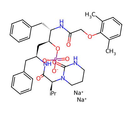 Cc1cccc(C)c1OCC(=O)N[C@@H](Cc1ccccc1)[C@H](C[C@H](Cc1ccccc1)NC(=O)[C@H](C(C)C)N1CCCNC1=O)OP(=O)([O-])[O-].[Na+].[Na+]